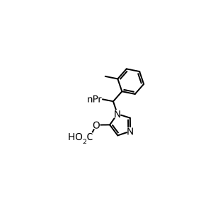 CCCC(c1ccccc1C)n1cncc1OC(=O)O